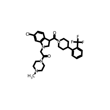 CN1CCN(C(=O)CN2CC(C(=O)N3CCC(c4ccccc4C(F)(F)F)CC3)c3ccc(Cl)cc32)CC1